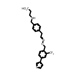 O=C(O)CCNCc1ccc(CC=NOCc2ccc(-c3ccsc3)cc2C(F)(F)F)cc1